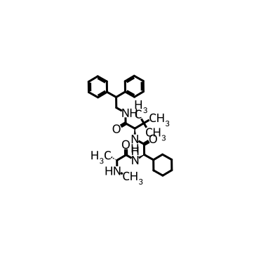 CN[C@H](C)C(=O)N[C@@H](C(=O)N[C@@H](C(=O)NCC(c1ccccc1)c1ccccc1)C(C)(C)C)C1CCCCC1